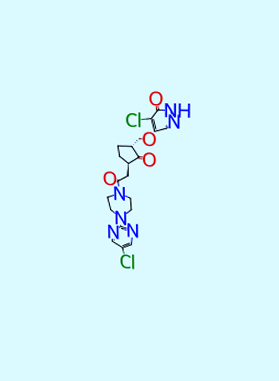 O=C1[C@@H](COc2cn[nH]c(=O)c2Cl)CC[C@@H]1CC(=O)N1CCN(c2ncc(Cl)cn2)CC1